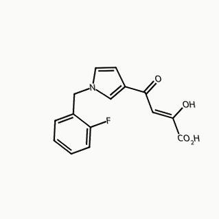 O=C(O)C(O)=CC(=O)c1ccn(Cc2ccccc2F)c1